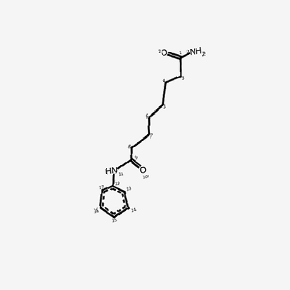 NC(=O)CCCCCCC(=O)Nc1ccccc1